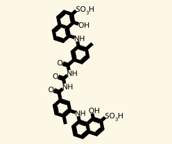 Cc1ccc(C(=O)NC(=O)NC(=O)c2ccc(C)c(Nc3cccc4ccc(S(=O)(=O)O)c(O)c34)c2)cc1Nc1cccc2ccc(S(=O)(=O)O)c(O)c12